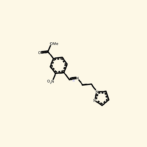 COC(=O)c1ccc(/C=N/CCn2cccn2)c([N+](=O)[O-])c1